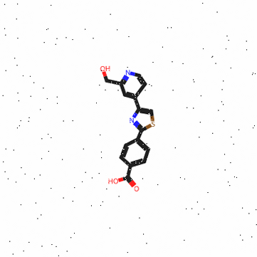 O=C(O)c1ccc(-c2nc(-c3ccnc(CO)c3)cs2)cc1